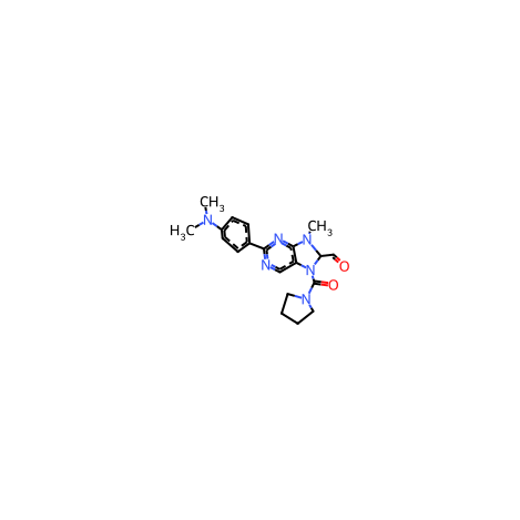 CN(C)c1ccc(-c2ncc3c(n2)N(C)C(C=O)N3C(=O)N2CCCC2)cc1